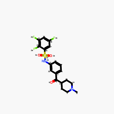 CN1CCC(C(=O)c2cccc(NS(=O)(=O)c3cc(F)cc(F)c3F)c2)CC1